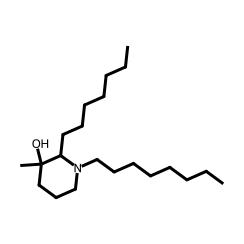 CCCCCCCCN1CCCC(C)(O)C1CCCCCCC